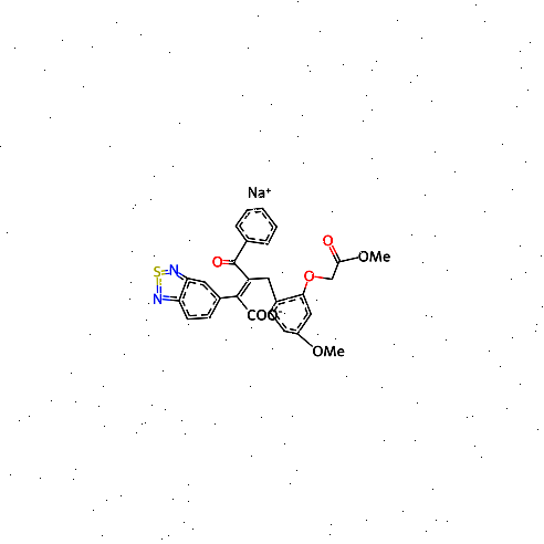 COC(=O)COc1cc(OC)ccc1CC(C(=O)c1ccccc1)=C(C(=O)[O-])c1ccc2nsnc2c1.[Na+]